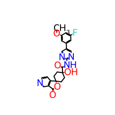 COc1cc(F)cc(-c2cnc(NC(=O)C3(O)CCC4(CC3)OC(=O)c3cnccc34)nc2)c1